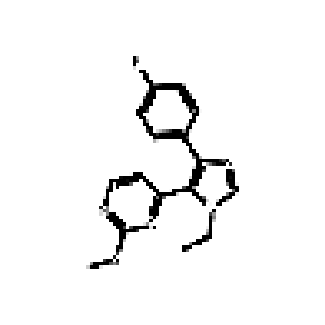 CCn1cnc(-c2ccc(F)cc2)c1-c1ccnc(SC)n1